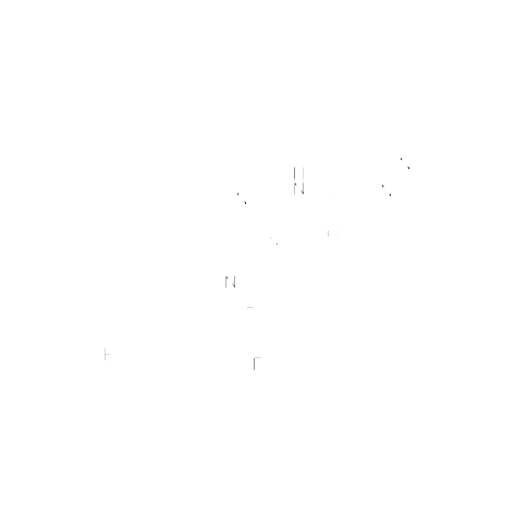 Cn1nccc1C(=O)Nc1nc2ccc(-c3cc(F)ccc3C(F)F)nc2s1